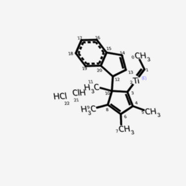 C/[CH]=[Ti]/[C]1=C(C)C(C)=C(C)C1(C)C1C=Cc2ccccc21.Cl.Cl